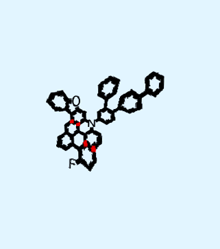 Fc1ccccc1-c1cccc2cccc(-c3ccccc3N(c3ccc(-c4ccc(-c5ccccc5)cc4)c(-c4ccccc4)c3)c3ccc4c(c3)oc3ccccc34)c12